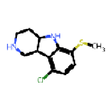 CSc1ccc(Cl)c2c1NC1CCNCC21